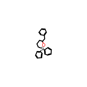 c1ccc(CC2CCC[Si](c3ccccc3)(c3ccccc3)O2)cc1